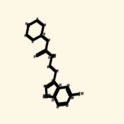 O=C(CN1CCOCC1)NCCc1c[nH]c2ccc(I)cc12